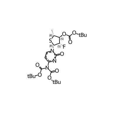 C[C@H]1S[C@@H](n2ccc(N(C(=O)OC(C)(C)C)C(=O)OC(C)(C)C)nc2=O)[C@@H](F)[C@@H]1OC(=O)OC(C)(C)C